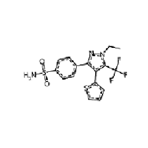 CCn1nc(-c2ccc(S(N)(=O)=O)cc2)c(-c2cccs2)c1C(F)(F)F